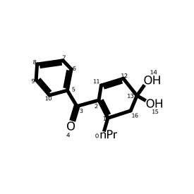 CCCC1=C(C(=O)c2ccccc2)C=CC(O)(O)C1